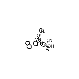 C=CC(O)N1CCN(c2nc(OC[C@@H]3CCCN3C)nc3c2C[C@@H](C)[C@H](c2cccc4c2CCC4)C3)C[C@@H]1CC#N